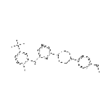 COc1ccc(N2CCN(c3cncc(Nc4cc(C(C)(C)C)ccc4C)n3)CC2)cc1